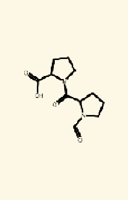 O=CN1CCCC1C(=O)N1CCCC1C(=O)O